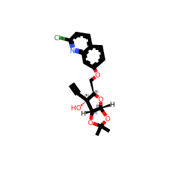 C#C[C@@]1(O)[C@@H](COc2ccc3ccc(Cl)nc3c2)O[C@@H]2OC(C)(C)O[C@@H]21